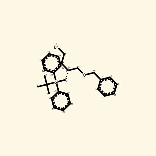 CC(C)(C)[Si](C[C@H](CCBr)COCc1ccccc1)(c1ccccc1)c1ccccc1